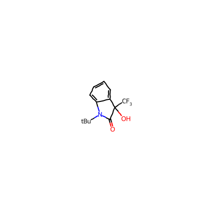 CC(C)(C)N1C(=O)C(O)(C(F)(F)F)c2ccccc21